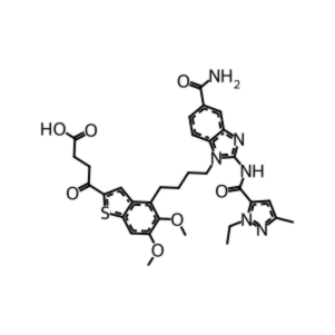 CCn1nc(C)cc1C(=O)Nc1nc2cc(C(N)=O)ccc2n1CCCCc1c(OC)c(OC)cc2sc(C(=O)CCC(=O)O)cc12